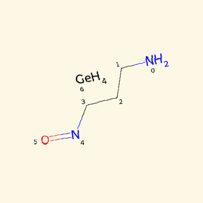 NCCCN=O.[GeH4]